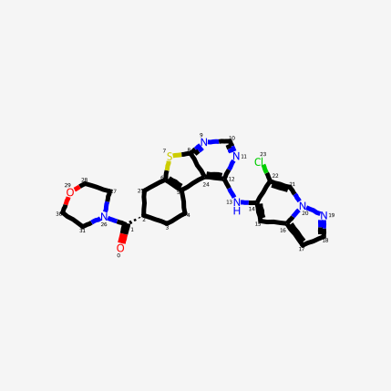 O=C([C@H]1CCc2c(sc3ncnc(Nc4cc5ccnn5cc4Cl)c23)C1)N1CCOCC1